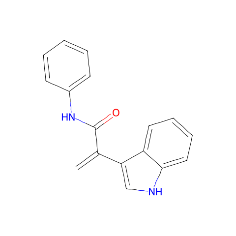 C=C(C(=O)Nc1ccccc1)c1c[nH]c2ccccc12